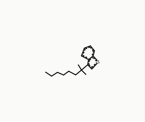 CCCCCCC(C)(C)c1csc2ccccc12